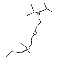 CCC[N+](C)(C)CCOCCN(C(C)C)C(C)C